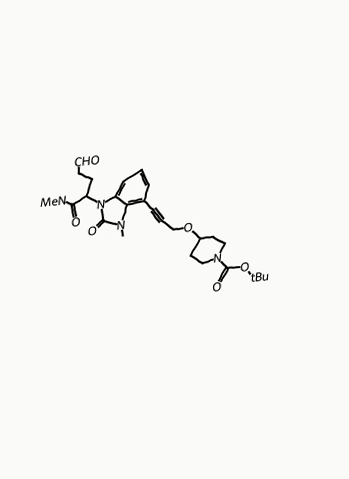 CNC(=O)C(CCC=O)n1c(=O)n(C)c2c(C#CCOC3CCN(C(=O)OC(C)(C)C)CC3)cccc21